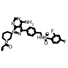 C=CC(=O)N1CCCC(n2nc(-c3ccc(CNS(=O)(=O)c4ccc(F)cc4F)cc3)c3c(N)ncnc32)C1